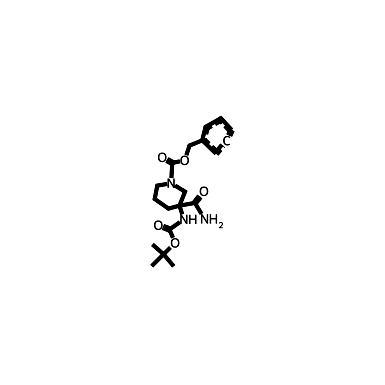 CC(C)(C)OC(=O)NC1(C(N)=O)CCCN(C(=O)OCc2ccccc2)C1